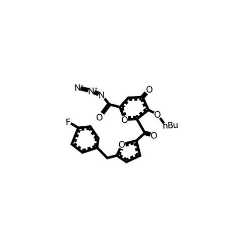 CCCCOc1c(C(=O)c2ccc(Cc3ccc(F)cc3)o2)oc(C(=O)N=[N+]=[N-])cc1=O